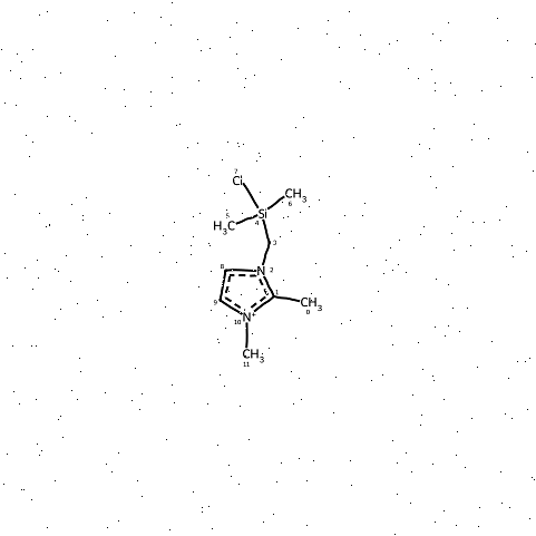 Cc1n(C[Si](C)(C)Cl)cc[n+]1C